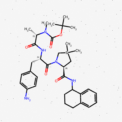 C[C@@H](C(=O)N[C@@H](Cc1ccc(N)cc1)C(=O)N1C[Si](C)(C)C[C@H]1C(=O)NC1CCCc2ccccc21)N(C)C(=O)OC(C)(C)C